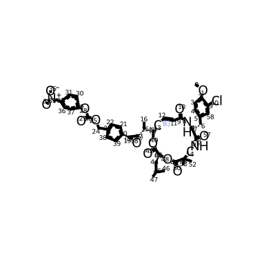 COc1ccc(C[C@H]2NC(=O)/C=C/C[C@@H](C(C)[C@@H]3O[C@H]3c3ccc(COC(=O)Oc4ccc([N+](=O)[O-])cc4)cc3)OC(=O)[C@H](CC(C)C)OC(=O)C(C)(C)CNC2=O)cc1Cl